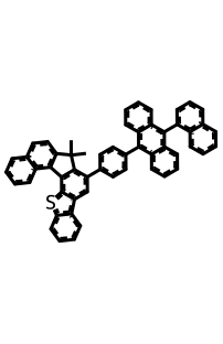 CC1(C)c2ccc3ccccc3c2-c2c1c(-c1ccc(-c3c4ccccc4c(-c4cccc5ccccc45)c4ccccc34)cc1)cc1c2sc2ccccc21